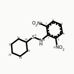 O=[N+]([O-])c1cccc([N+](=O)[O-])c1NSC1CCCCC1